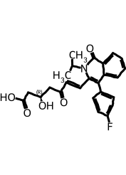 CC(C)n1c(C=CC(=O)C[C@@H](O)CC(=O)O)c(-c2ccc(F)cc2)c2ccccc2c1=O